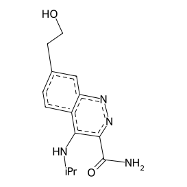 CC(C)Nc1c(C(N)=O)nnc2cc(CCO)ccc12